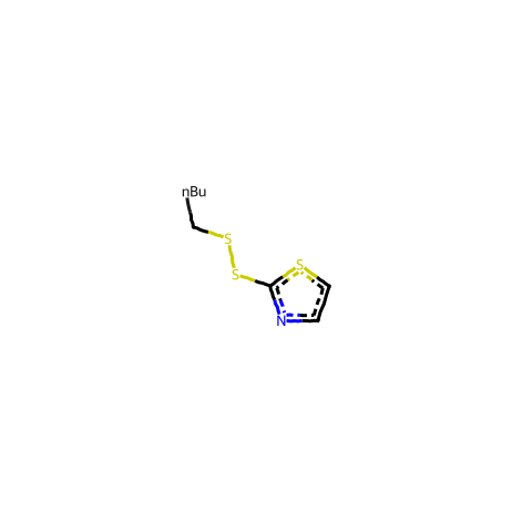 CCCCCSSc1nccs1